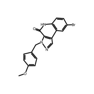 COc1ccc(Cn2ncc3c4cc(Br)ccc4[nH]c(=O)c32)cc1